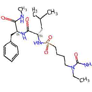 CCN(CCCCS(=O)(=O)N[C@@H](CC(C)C)C(=O)N[C@@H](Cc1ccccc1)C(=O)NC)C(N)=O